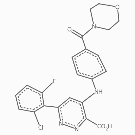 O=C(O)c1nnc(-c2c(F)cccc2Cl)cc1Nc1ccc(C(=O)N2CCOCC2)cc1